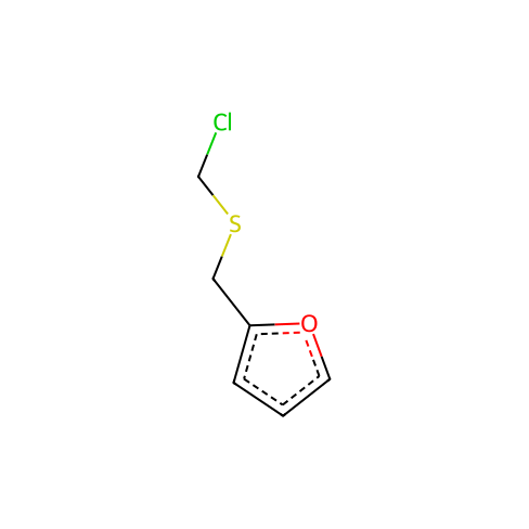 ClCSCc1ccco1